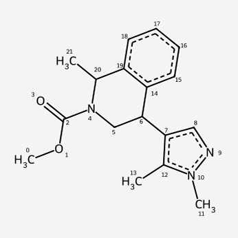 COC(=O)N1CC(c2cnn(C)c2C)c2ccccc2C1C